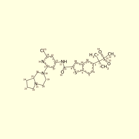 CC(C)(c1ccc2sc(C(=O)Nc3cc(Cl)nc(N4CCN5CCCC5C4)c3)cc2c1)S(C)(=O)=O